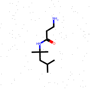 CC(C)CC(C)(C)NC(=O)CCN